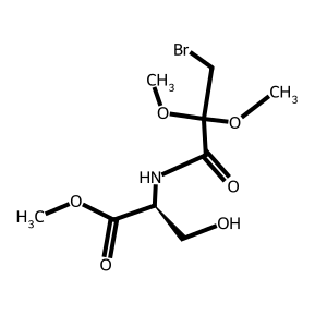 COC(=O)[C@H](CO)NC(=O)C(CBr)(OC)OC